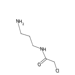 NCCCNC(=O)CCl